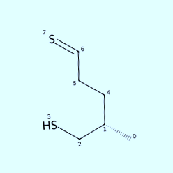 C[C@H](CS)CCC=S